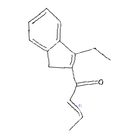 C/C=C/C(=O)C1=C(CC)c2ccccc2C1